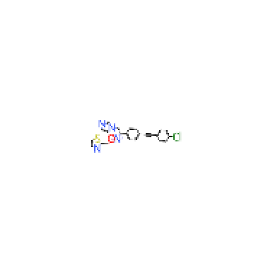 Clc1ccc(C#Cc2ccc(/C(Cn3ccnc3)=N/OCc3nccs3)cc2)cc1